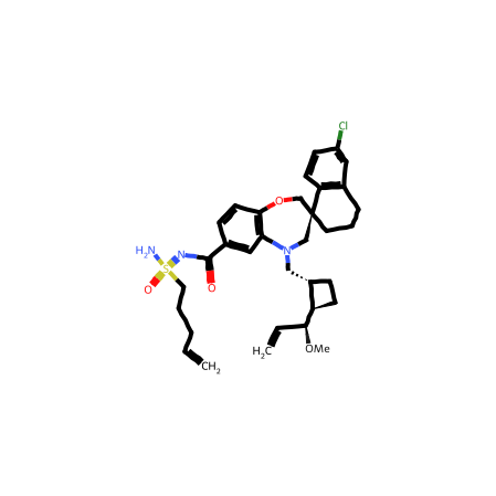 C=CCCCS(N)(=O)=NC(=O)c1ccc2c(c1)N(C[C@@H]1CC[C@H]1[C@H](C=C)OC)C[C@@]1(CCCc3cc(Cl)ccc31)CO2